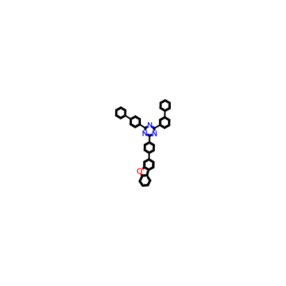 c1ccc(-c2ccc(-c3nc(-c4ccc(-c5ccc6c(c5)oc5ccccc56)cc4)nc(-c4cccc(-c5ccccc5)c4)n3)cc2)cc1